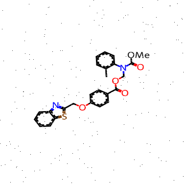 COC(=O)N(COC(=O)c1ccc(OCc2nc3ccccc3s2)cc1)c1ccccc1C